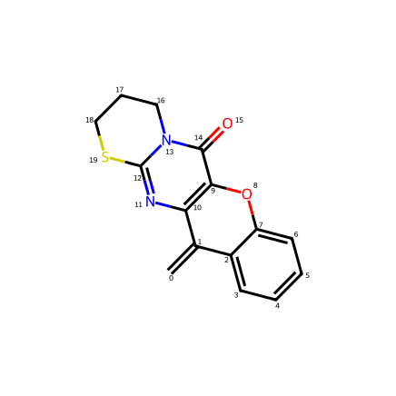 C=C1c2ccccc2Oc2c1nc1n(c2=O)CCCS1